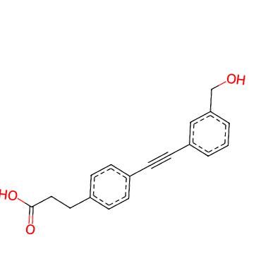 O=C(O)CCc1ccc(C#Cc2cccc(CO)c2)cc1